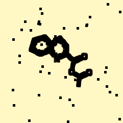 CC(=O)OC(=O)c1ccc2ccccc2n1